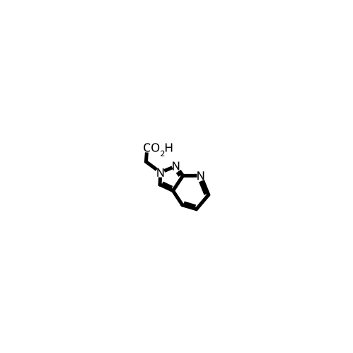 O=C(O)Cn1cc2cccnc2n1